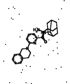 NC(=O)C12CC3CC(C1)C(NC(=O)c1cccc(N4CCc5ccccc5C4)n1)C(C3)C2